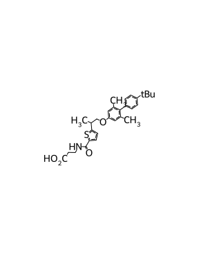 Cc1cc(OCC(C)c2ccc(C(=O)NCCC(=O)O)s2)cc(C)c1-c1ccc(C(C)(C)C)cc1